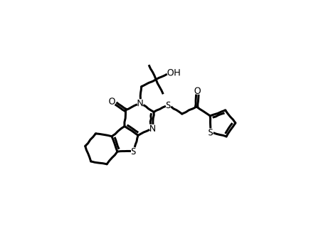 CC(C)(O)Cn1c(SCC(=O)c2cccs2)nc2sc3c(c2c1=O)CCCC3